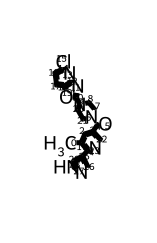 Cc1cc(C(=O)N2CCN(c3nc4nc(Cl)ccc4o3)CC2)cnc1-c1cn[nH]c1